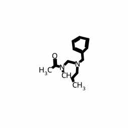 CCCN(Cc1ccccc1)CN(C)C(C)=O